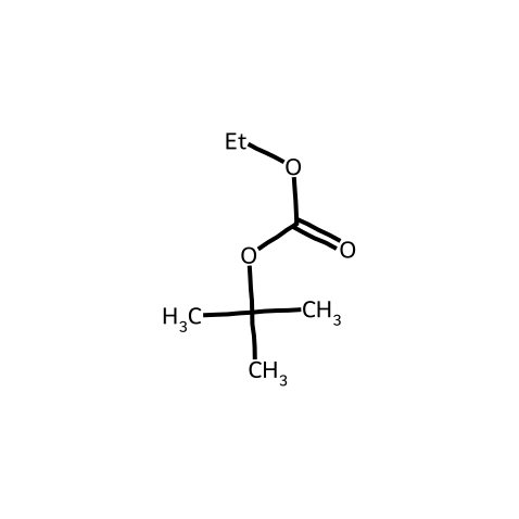 CCOC(=O)OC(C)(C)C